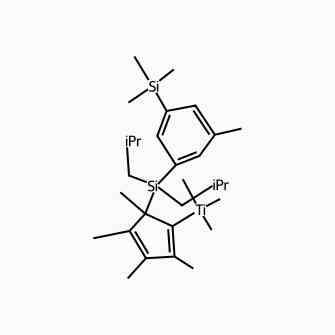 CC1=C(C)C(C)([Si](CC(C)C)(CC(C)C)c2cc(C)cc([Si](C)(C)C)c2)[C]([Ti]([CH3])([CH3])[CH3])=C1C